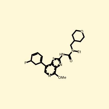 CCN(CC1CCOCC1)C(=O)Nc1nc2c(OC)ncc(C3=CC=CC(F)C3)c2s1